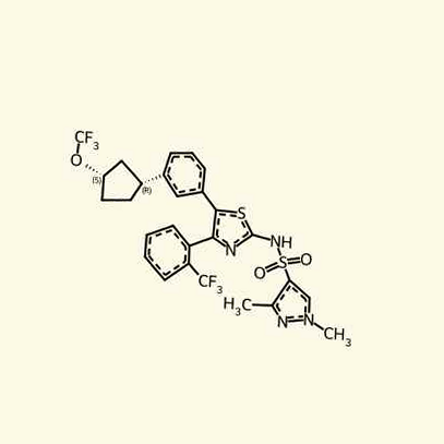 Cc1nn(C)cc1S(=O)(=O)Nc1nc(-c2ccccc2C(F)(F)F)c(-c2cccc([C@@H]3CC[C@H](OC(F)(F)F)C3)c2)s1